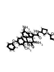 C=CC(=O)N1CCC(NC(=O)c2sc3c(N)ccc4c3c2C(N)C(=O)C4(N)c2c(C)cc(Oc3ccccc3)cc2F)C1